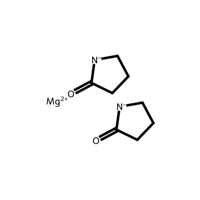 O=C1CCC[N-]1.O=C1CCC[N-]1.[Mg+2]